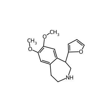 COc1cc2c(cc1OC)C(c1ccco1)CNCC2